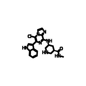 CNC(=O)[C@H]1CNC[C@@H](Nc2nc(-c3c[nH]c4ccccc34)c(Cl)n3ccnc23)C1